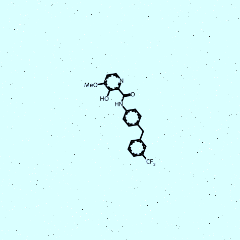 COc1ccnc(C(=O)Nc2ccc(Cc3cccc(C(F)(F)F)c3)cc2)c1O